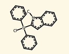 Cn1c([Si](Cl)(c2ccccc2)c2ccccc2)cc2ccccc21